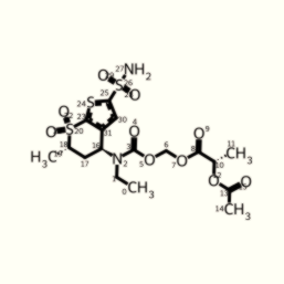 CCN(C(=O)OCOC(=O)[C@H](C)OC(C)=O)[C@H]1C[C@H](C)S(=O)(=O)c2sc(S(N)(=O)=O)cc21